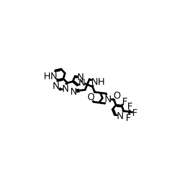 N#CCC1(n2cc(-c3ncnc4c3CC=CN4)cn2)CNC1C1OCC2CC1CN(C(=O)c1ccnc(C(F)(F)F)c1F)C2